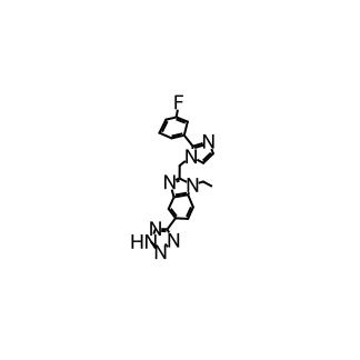 CCn1c(Cn2ccnc2-c2cccc(F)c2)nc2cc(-c3nn[nH]n3)ccc21